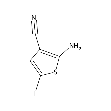 N#Cc1cc(I)sc1N